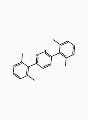 Cc1cccc(C)c1-c1ccc(-c2c(C)cccc2C)nn1